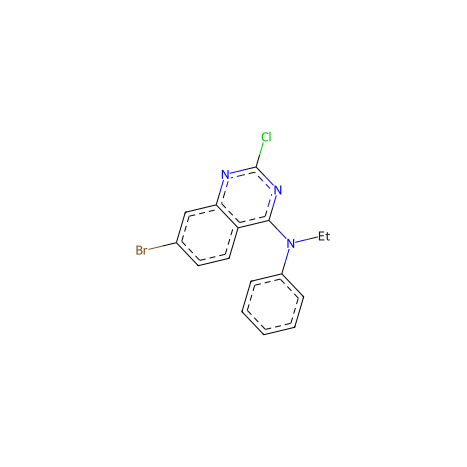 CCN(c1ccccc1)c1nc(Cl)nc2cc(Br)ccc12